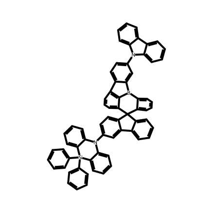 c1ccc([Si]2(c3ccccc3)c3ccccc3N(c3ccc4c(c3)-c3ccccc3C43c4ccccc4B4c5cc(-n6c7ccccc7c7ccccc76)ccc5-c5cccc3c54)c3ccccc32)cc1